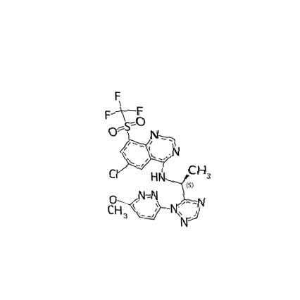 COc1ccc(-n2ncnc2[C@H](C)Nc2ncnc3c(S(=O)(=O)C(F)(F)F)cc(Cl)cc23)nn1